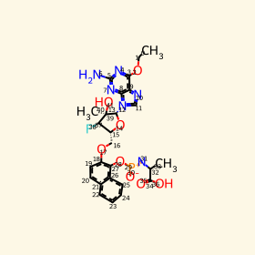 CCOc1nc(N)nc2c1ncn2[C@@H]1O[C@H](COc2ccc3ccccc3c2O/[P+]([O-])=N/C(C)C(=O)O)[C@@H](F)[C@@]1(C)O